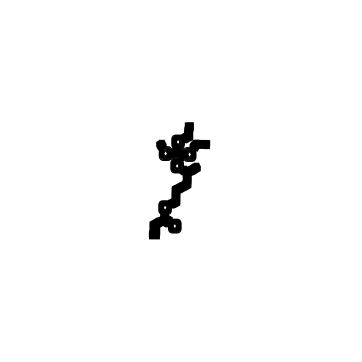 C=CC(=O)OCCCC(C)O[Si](OC)(OCC)OCC